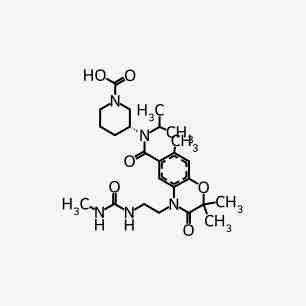 CNC(=O)NCCN1C(=O)C(C)(C)Oc2cc(C)c(C(=O)N(C(C)C)[C@@H]3CCCN(C(=O)O)C3)cc21